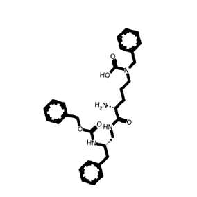 N[C@H](CCCN(Cc1ccccc1)C(=O)O)C(=O)NC[C@H](Cc1ccccc1)NC(=O)OCc1ccccc1